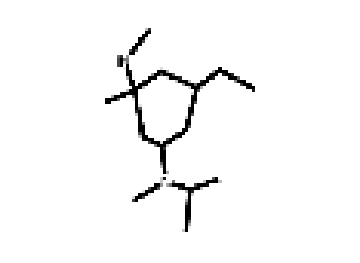 CCC1CC(N(C)C(C)C)CC(C)(NC)C1